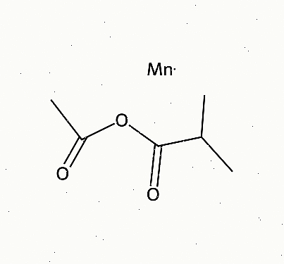 CC(=O)OC(=O)C(C)C.[Mn]